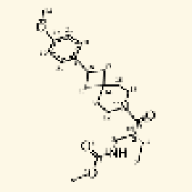 CC[C@H](CNC(=O)OC)C(=O)N1CCC2(CC1)CC(c1ccc(OC)cc1)C2